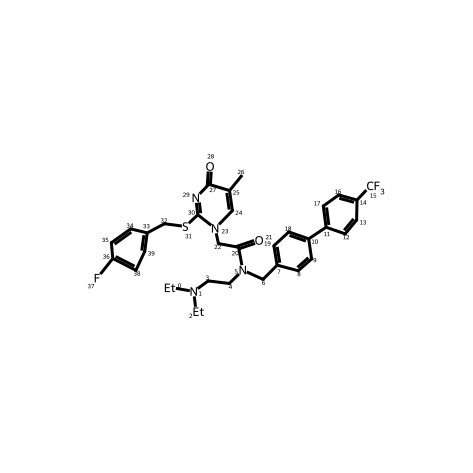 CCN(CC)CCN(Cc1ccc(-c2ccc(C(F)(F)F)cc2)cc1)C(=O)Cn1cc(C)c(=O)nc1SCc1ccc(F)cc1